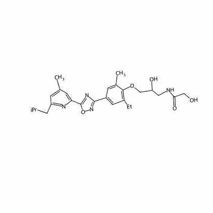 CCc1cc(-c2noc(-c3cc(C)cc(CC(C)C)n3)n2)cc(C)c1OCC(O)CNC(=O)CO